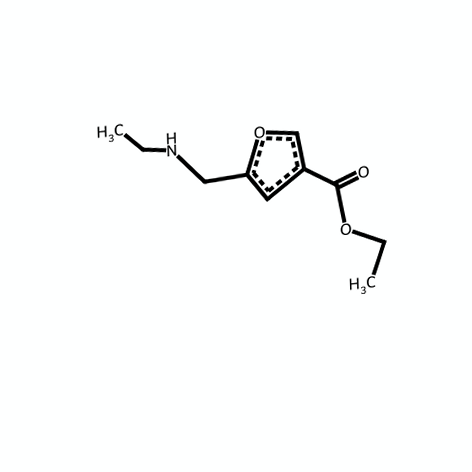 CCNCc1cc(C(=O)OCC)co1